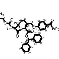 C=CCOC(=O)NC1C(=O)N2C(C(=O)OC(c3ccccc3)c3ccccc3)=C(COc3ccc(C(N)=O)cc3)CS[C@@H]12